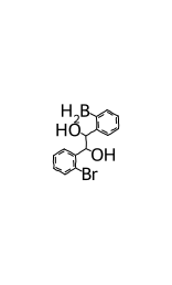 Bc1ccccc1C(O)C(O)c1ccccc1Br